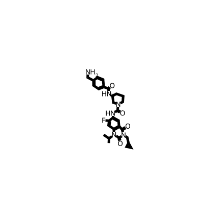 CC(C)n1c(=O)n(CC2CC2)c(=O)c2cc(NC(=O)N3CCC[C@@H](NC(=O)c4ccc(CN)cc4)C3)c(F)cc21